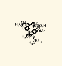 C=CC(=O)Nc1cc(Nc2nccc(-c3cn4c5c(cccc35)OCC(C)(C)C4)n2)c(OC)cc1N(C)CCN(C)C.CS(=O)(=O)O